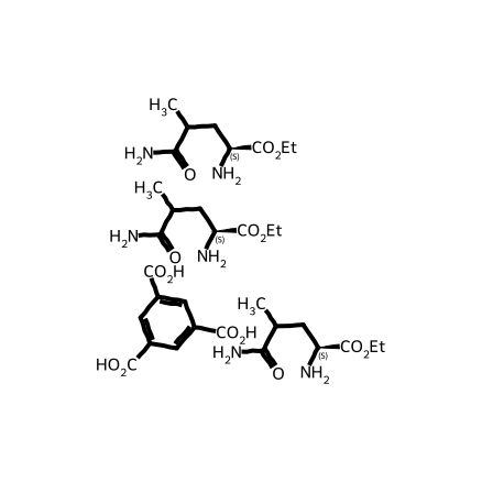 CCOC(=O)[C@@H](N)CC(C)C(N)=O.CCOC(=O)[C@@H](N)CC(C)C(N)=O.CCOC(=O)[C@@H](N)CC(C)C(N)=O.O=C(O)c1cc(C(=O)O)cc(C(=O)O)c1